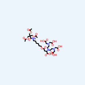 CC(=O)OCC(COC(C)=O)(COC(C)=O)C(=O)NCCCCCCOC(=O)CC(C(=O)O)N(CCN(CC(=O)O)CC(=O)O)CCN(CC(=O)O)CC(=O)O